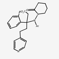 CC(=O)N(N1CCCCC1=O)C(CCc1ccncc1)(CC(=O)O)c1ccccc1F